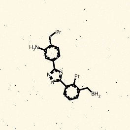 BCc1cccc(-c2nnc(-c3ccc(CC(C)C)c(N)c3)s2)c1CC